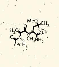 C=C(C(=O)N(C)[C@@H](CC(C)(C)OC)C(N)=O)N(C)C(=O)CCC